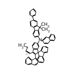 C=C/C=C\C1=C(c2cccc3ccccc23)C2(c3cc(N(c4ccc5c(c4)C(C)(C)c4cc(-c6ccccc6)ccc4-5)c4ccc5ccccc5c4)ccc31)c1ccccc1-c1ccccc12